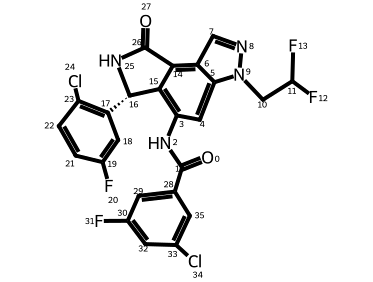 O=C(Nc1cc2c(cnn2CC(F)F)c2c1[C@H](c1cc(F)ccc1Cl)NC2=O)c1cc(F)cc(Cl)c1